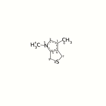 Cc1cn(C)c2c1CSC2